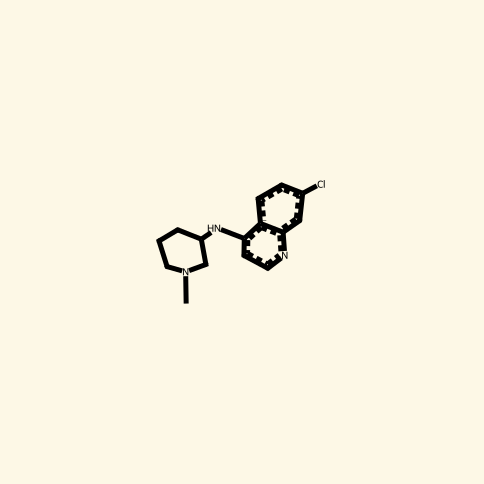 CN1CCCC(Nc2ccnc3cc(Cl)ccc23)C1